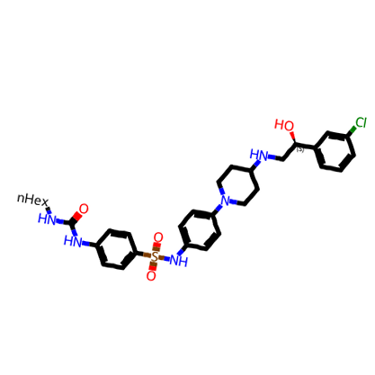 CCCCCCNC(=O)Nc1ccc(S(=O)(=O)Nc2ccc(N3CCC(NC[C@@H](O)c4cccc(Cl)c4)CC3)cc2)cc1